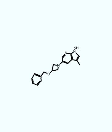 Cc1cn(S)c2ncc(N3CC(OCc4ccccc4)C3)cc12